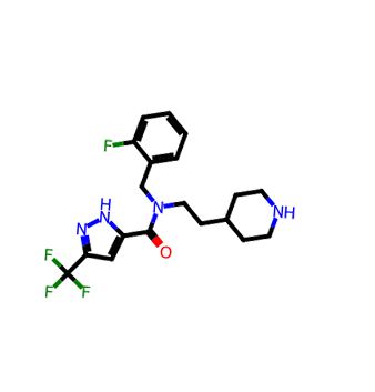 O=C(c1cc(C(F)(F)F)n[nH]1)N(CCC1CCNCC1)Cc1ccccc1F